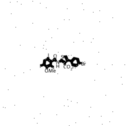 COc1c(I)cc(I)c(C(=O)Nc2scc(-c3ccc(Br)cc3)c2C(=O)O)c1I